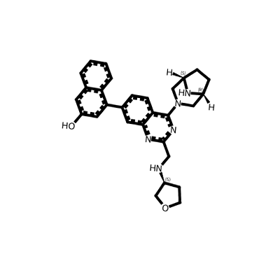 Oc1cc(-c2ccc3c(N4C[C@H]5CC[C@@H](C4)N5)nc(CN[C@H]4CCOC4)nc3c2)c2ccccc2c1